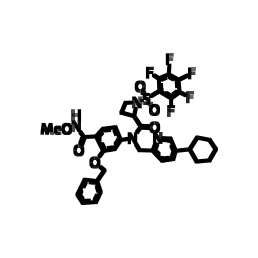 CONC(=O)c1ccc(N(Cc2ccc(C3CCCCC3)cn2)C(=O)C2CCN2S(=O)(=O)c2c(F)c(F)c(F)c(F)c2F)cc1OCc1ccccc1